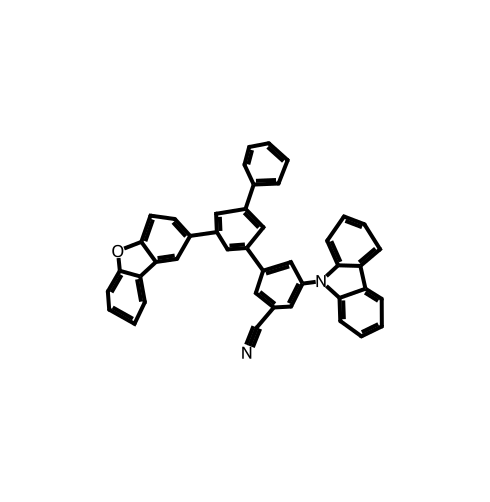 N#Cc1cc(-c2cc(-c3ccccc3)cc(-c3ccc4oc5ccccc5c4c3)c2)cc(-n2c3ccccc3c3ccccc32)c1